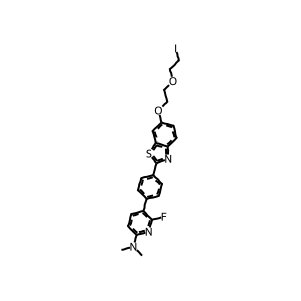 CN(C)c1ccc(-c2ccc(-c3nc4ccc(OCCOCCI)cc4s3)cc2)c(F)n1